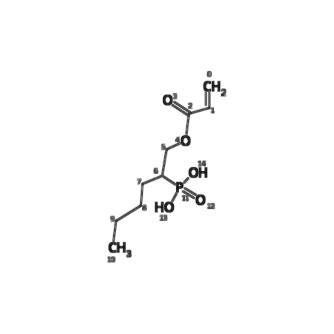 C=CC(=O)OCC(CCCC)P(=O)(O)O